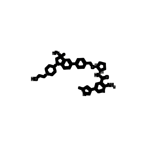 CCCC1(C)CN(C2CCN(CCO)CC2)c2ccc(-c3ccc(CO[C@H]4CCC[C@@H]4NC(=O)c4cc(-c5cnn(C)c5)cnc4N)cc3)cc21